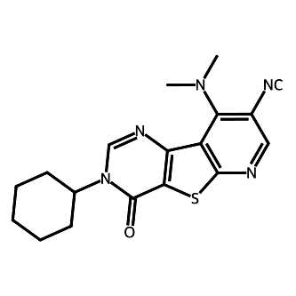 [C-]#[N+]c1cnc2sc3c(=O)n(C4CCCCC4)cnc3c2c1N(C)C